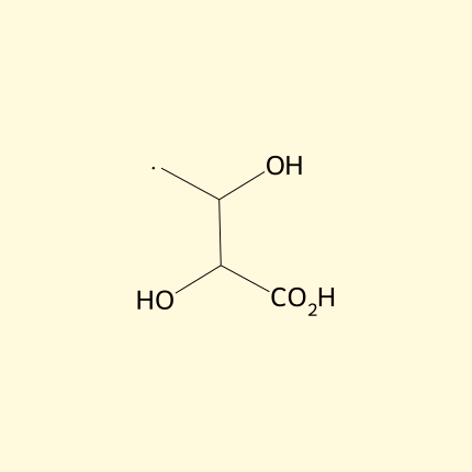 [CH2]C(O)C(O)C(=O)O